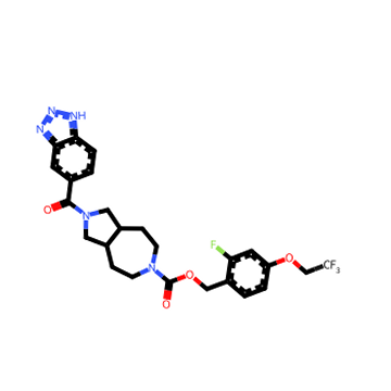 O=C(OCc1ccc(OCC(F)(F)F)cc1F)N1CCC2CN(C(=O)c3ccc4[nH]nnc4c3)CC2CC1